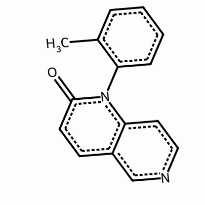 Cc1ccccc1-n1c(=O)ccc2cnccc21